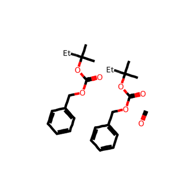 C=O.CCC(C)(C)OC(=O)OCc1ccccc1.CCC(C)(C)OC(=O)OCc1ccccc1